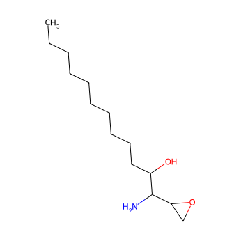 CCCCCCCCCCC(O)C(N)C1CO1